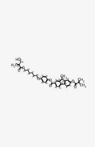 C=C(C)C(=O)Oc1ccc2c(c1)C(C)c1cc(C(=O)Oc3ccc(OCCCCCCOC(=O)C(=C)CO)cc3)ccc1-2